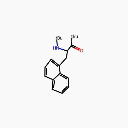 CC(C)(C)NC(Cc1cccc2ccccc12)C(=O)C(C)(C)C